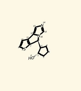 O[C@H]1CCCC1[C@H]1c2sccc2-c2cncn21